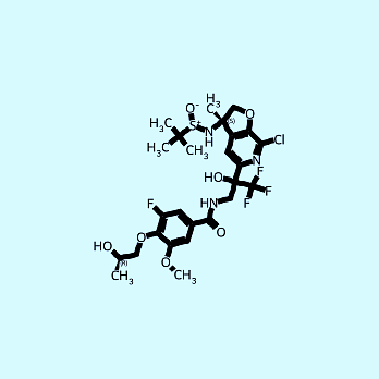 COc1cc(C(=O)NCC(O)(c2cc3c(c(Cl)n2)OC[C@@]3(C)N[S+]([O-])C(C)(C)C)C(F)(F)F)cc(F)c1OC[C@@H](C)O